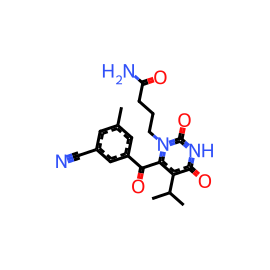 Cc1cc(C#N)cc(C(=O)c2c(C(C)C)c(=O)[nH]c(=O)n2CCCC(N)=O)c1